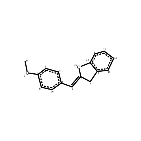 COc1ccc(/C=C2/Cc3ccccc3O2)cc1